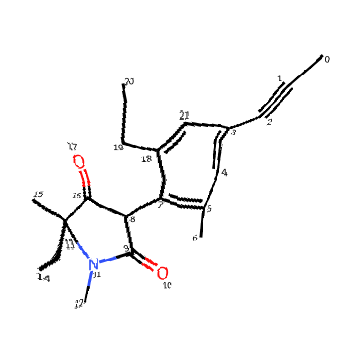 CC#Cc1cc(C)c(C2C(=O)N(C)C(C)(C)C2=O)c(CC)c1